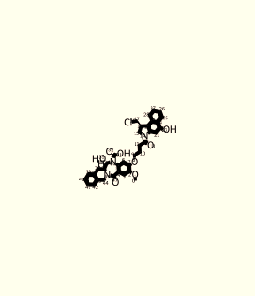 COc1cc2c(cc1OCCCC(=O)N1C[C@@H](CCl)c3c1cc(O)c1ccccc31)N(C(=O)O)C(O)[C@@H]1Cc3ccccc3CN1C2=O